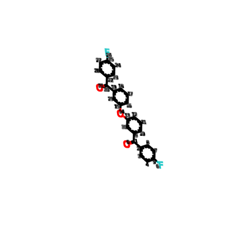 O=C(c1ccc(F)cc1)c1cccc(Oc2cccc(C(=O)c3ccc(F)cc3)c2)c1